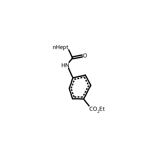 CCCCCCCC(=O)Nc1ccc(C(=O)OCC)cc1